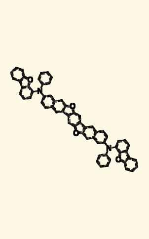 c1ccc(N(c2ccc3cc4c(cc3c2)oc2cc3c(cc24)oc2cc4cc(N(c5ccccc5)c5cccc6c5oc5ccccc56)ccc4cc23)c2cccc3c2oc2ccccc23)cc1